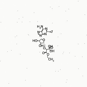 CCOC(=O)[C@@H](OC[C@H]1O[C@@H](n2cnc3c(N)nc(C4CC4)nc32)[C@H](O)[C@@H]1O)P(=O)(O)O